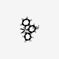 Br.CP(C)(c1ccccc1)(c1ccccc1)c1ccccc1